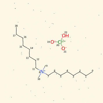 CCCCCCCC[N+](C)(C)CCCCCCCC.[O-][Cl+2]([O-])O